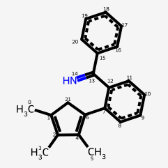 CC1=C(C)C(C)=C(c2ccccc2C(=N)c2ccccc2)C1